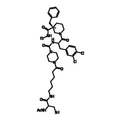 CCNC(=O)[C@]1(Cc2ccccc2)CCCN(C(=O)C(Cc2ccc(Cl)c(Cl)c2)NC(=O)N2CCN(C(=O)CCCCCNC(=O)C(CS)NC(C)=O)CC2)C1